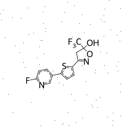 OC1(C(F)(F)F)CC(c2ccc(-c3ccc(F)nc3)s2)=NO1